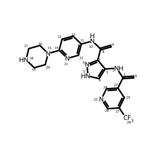 C=C(Nc1c[nH]nc1C(=C)Nc1ccc(N2CCNCC2)nc1)c1cncc(C(F)(F)F)c1